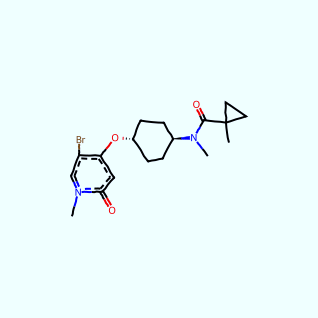 Cn1cc(Br)c(O[C@H]2CC[C@H](N(C)C(=O)C3(C)CC3)CC2)cc1=O